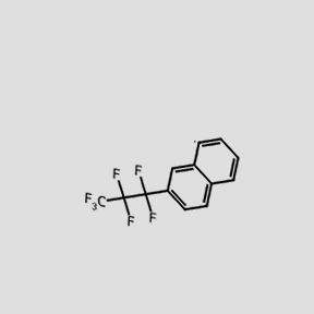 FC(F)(F)C(F)(F)C(F)(F)c1ccc2ccc[c]c2c1